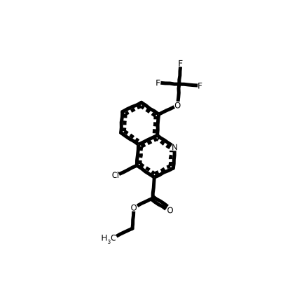 CCOC(=O)c1cnc2c(OC(F)(F)F)cccc2c1Cl